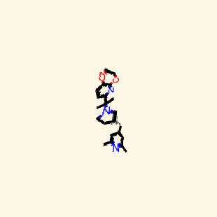 Cc1cc(C[C@@H]2CCN(C(C)(C)c3ccc4c(n3)OCCO4)C2)cc(C)n1